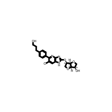 OCCCc1ccc(-c2nc3nc(O[C@@H]4CO[C@H]5[C@@H]4OC[C@H]5O)[nH]c3cc2Cl)cc1